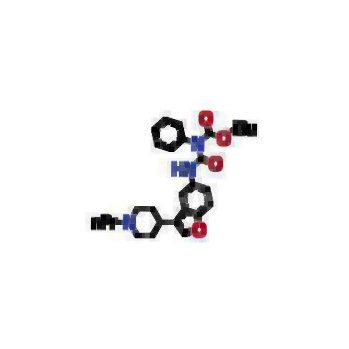 CCCN1CCC(c2coc3ccc(NC(=O)N(C(=O)OC(C)CC)c4ccccc4)cc23)CC1